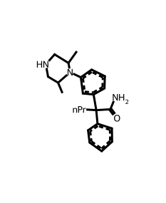 CCCC(C(N)=O)(c1ccccc1)c1cccc(N2C(C)CNCC2C)c1